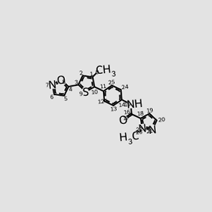 Cc1cc(-c2ccno2)sc1-c1ccc(NC(=O)c2ccnn2C)cc1